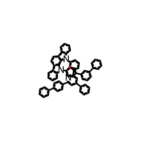 c1ccc(-c2ccc(-c3cc(-c4ccccc4)cc(-c4cccc(-n5c6ccccc6c6ccc7c8ccccc8n(-c8ccc(-c9cccc(-c%10ccccc%10)c9)cc8)c7c65)c4)n3)cc2)cc1